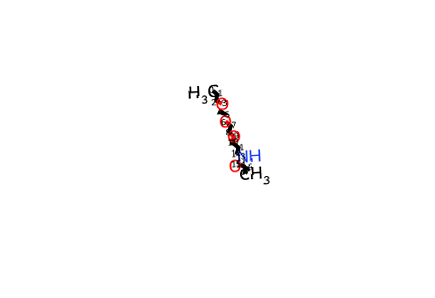 CCCOCCOCCOCCCNC(=O)CC